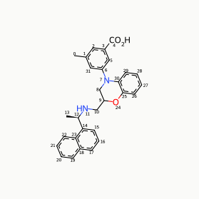 Cc1cc(C(=O)O)cc(N2CC(CN[C@H](C)c3cccc4ccccc34)Oc3ccccc32)c1